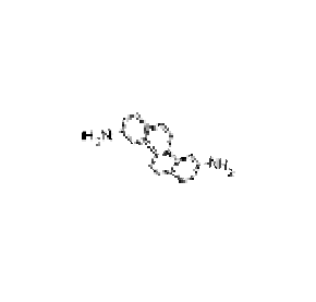 Nc1ccc2ccc3c4cc(N)ccc4ccc3c2c1